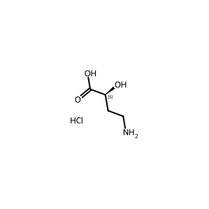 Cl.NCC[C@H](O)C(=O)O